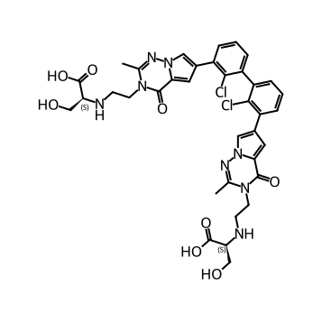 Cc1nn2cc(-c3cccc(-c4cccc(-c5cc6c(=O)n(CCN[C@@H](CO)C(=O)O)c(C)nn6c5)c4Cl)c3Cl)cc2c(=O)n1CCN[C@@H](CO)C(=O)O